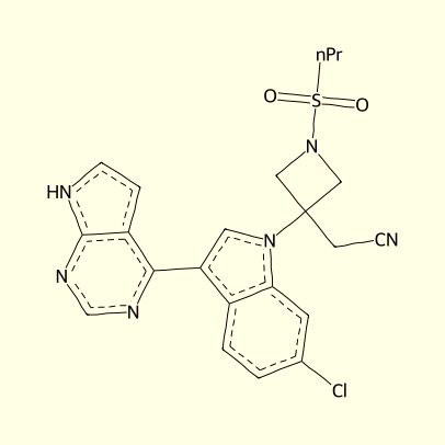 CCCS(=O)(=O)N1CC(CC#N)(n2cc(-c3ncnc4[nH]ccc34)c3ccc(Cl)cc32)C1